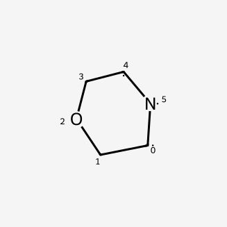 [CH]1COC[CH][N]1